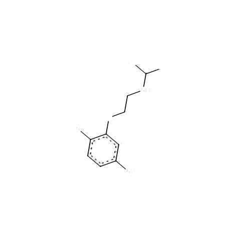 CCC(CC)NCCOc1cc(N)ccc1N.O